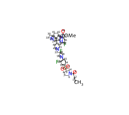 CC#CC(=O)N1CCCC(S(=O)(=O)c2ccc(N3CC(F)(CN4CCC(C(CN5CCC5)(c5cccc(F)c5)[C@H]5CCC[C@@H]5NC(=O)OC)CC4)C3)c(F)c2)C1